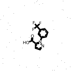 O=C(O)c1ccnn1-c1cccc(C(F)(F)F)c1